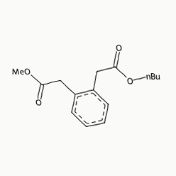 CCCCOC(=O)Cc1ccccc1CC(=O)OC